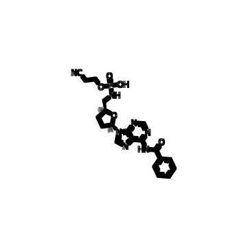 N#CCCOP(=O)(O)NC[C@@H]1CC[C@H](n2cnc3c(NC(=O)c4ccccc4)ncnc32)O1